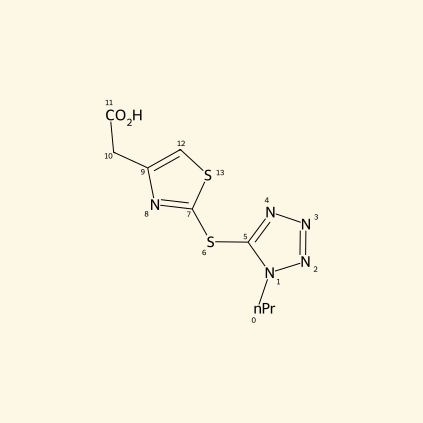 CCCn1nnnc1Sc1nc(CC(=O)O)cs1